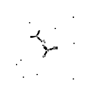 CN(C)N.O=[N+]([O-])O